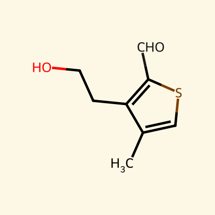 Cc1csc(C=O)c1CCO